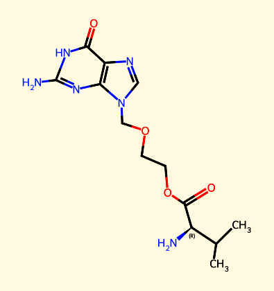 CC(C)[C@@H](N)C(=O)OCCOCn1cnc2c(=O)[nH]c(N)nc21